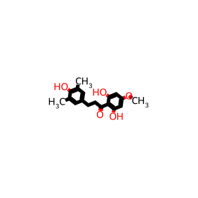 COc1cc(O)c(C(=O)CCc2cc(C)c(O)c(C)c2)c(O)c1